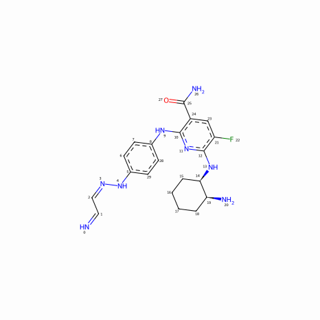 N=C/C=N\Nc1ccc(Nc2nc(N[C@@H]3CCCC[C@@H]3N)c(F)cc2C(N)=O)cc1